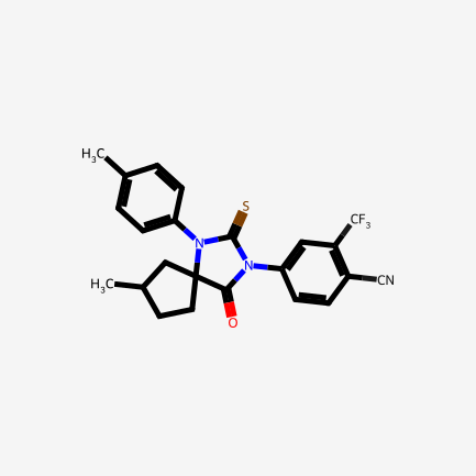 Cc1ccc(N2C(=S)N(c3ccc(C#N)c(C(F)(F)F)c3)C(=O)C23CCC(C)C3)cc1